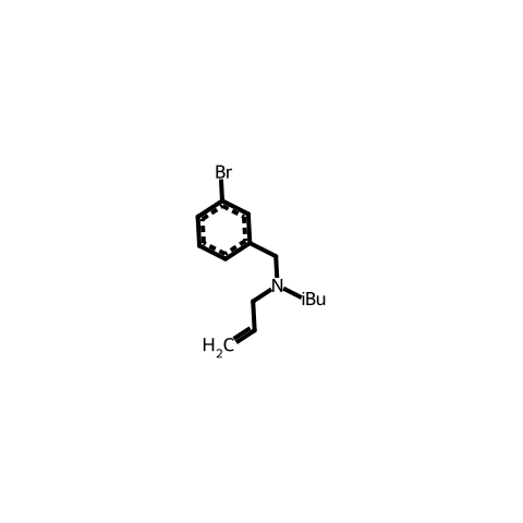 C=CCN(Cc1cccc(Br)c1)C(C)CC